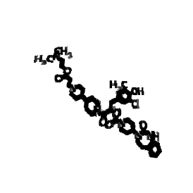 Cc1cc(C[C@@H](OC(=O)N2CCC(N3CCc4ccccc4NC3=O)CC2)C(=O)N2CCC(C3CCN(CCC(=O)OCCN(C)C)CC3)CC2)cc(Cl)c1O